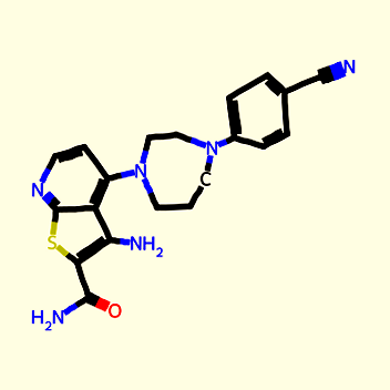 N#Cc1ccc(N2CCCN(c3ccnc4sc(C(N)=O)c(N)c34)CC2)cc1